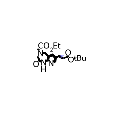 CCOC(=O)CN1CC(=O)Nc2ncc(/C=C/C(=O)OC(C)(C)C)cc2C1